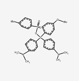 CN(C)c1ccc(S(OS(=O)(=O)c2ccc(C(C)(C)C)cc2)(c2ccc(OC(C)(C)C)cc2)c2ccc(N(C)C)cc2)cc1